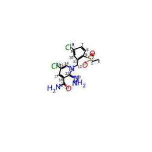 CCS(=O)(=O)c1ccc(Cl)cc1Cn1cc(Cl)cc(C(N)=O)c1=NN